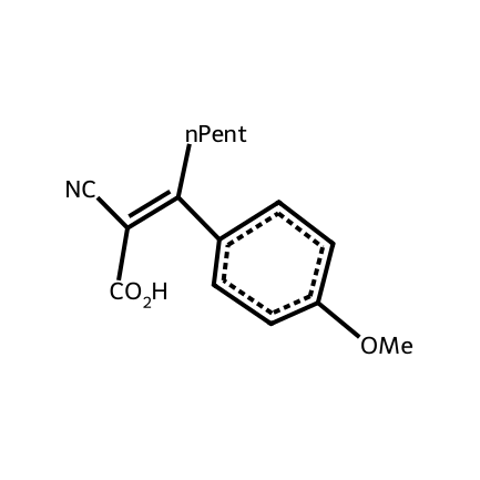 CCCCCC(=C(C#N)C(=O)O)c1ccc(OC)cc1